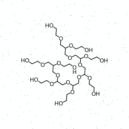 OCCOCC(COCC(OCCO)OCC(OCCO)OCC(OCCO)OCC(OCCO)OCC(COCCO)OCCO)OCCO